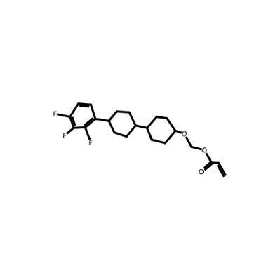 C=CC(=O)OCOC1CCC(C2CCC(c3ccc(F)c(F)c3F)CC2)CC1